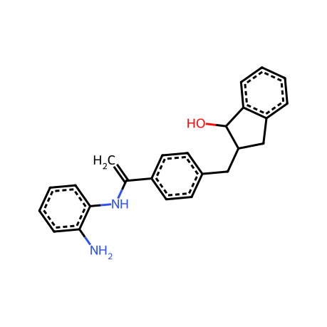 C=C(Nc1ccccc1N)c1ccc(CC2Cc3ccccc3C2O)cc1